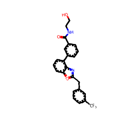 O=C(NCCO)c1cccc(-c2cccc3oc(Cc4cccc(C(F)(F)F)c4)nc23)c1